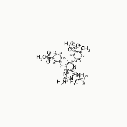 Cc1ccc(-c2cc(Cc3cccc(S(C)(=O)=O)c3)c3nc(N)nc(NC4(C(F)(F)F)CC4)c3n2)cc1S(C)(=O)=O